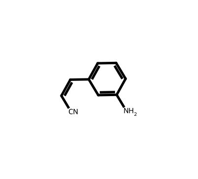 N#C/C=C\c1cccc(N)c1